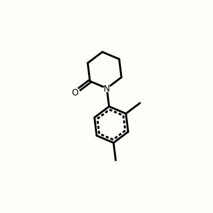 Cc1ccc(N2CCCCC2=O)c(C)c1